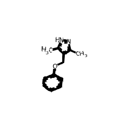 Cc1n[nH]c(C)c1COc1cc[c]cc1